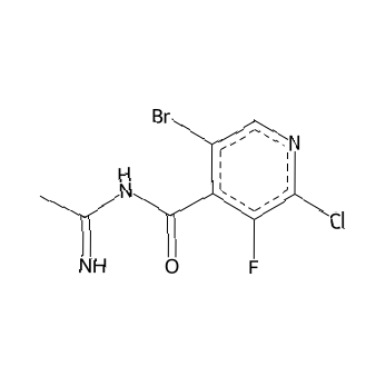 CC(=N)NC(=O)c1c(Br)cnc(Cl)c1F